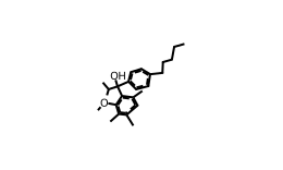 CCCCCc1ccc(C(O)(c2c(C)cc(C)c(C)c2OC)C(C)C)cc1